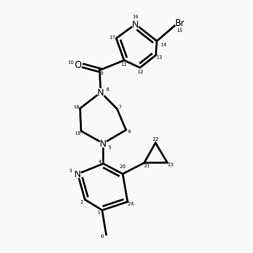 Cc1cnc(N2CCN(C(=O)c3ccc(Br)nc3)CC2)c(C2CC2)c1